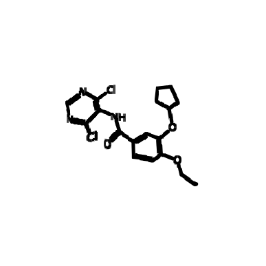 CCOc1ccc(C(=O)Nc2c(Cl)ncnc2Cl)cc1OC1CCCC1